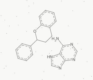 Nc1ncnc2nc[nH]c12.c1ccc(C2CCc3ccccc3O2)cc1